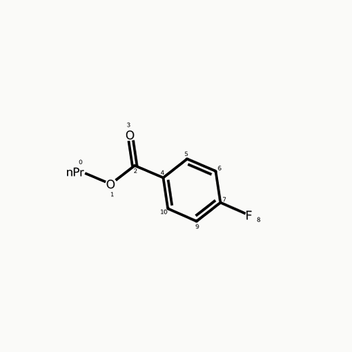 [CH2]CCOC(=O)c1ccc(F)cc1